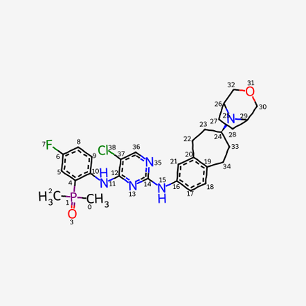 CP(C)(=O)c1cc(F)ccc1Nc1nc(Nc2ccc3c(c2)CC[C@@H](N2C4CCC2COC4)CC3)ncc1Cl